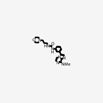 CNc1nccn2c(-c3cccc(NC(=O)NCCCN4CCOCC4)c3)cnc12